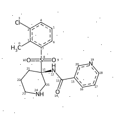 Cc1c(Cl)cccc1S(=O)(=O)[C@@]1(NC(=O)c2cccnc2)CCCNC1